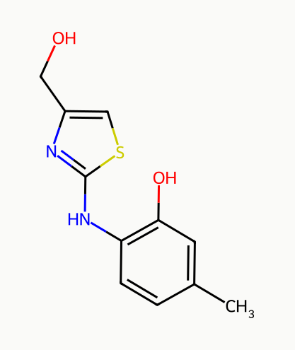 Cc1ccc(Nc2nc(CO)cs2)c(O)c1